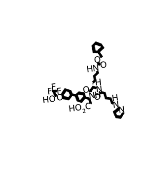 O=C(O)C(F)(F)F.O=C(O)CC(NC(=O)[C@H](CCCCNC(=O)OCc1ccccc1)NC(=O)CCCCNc1ccccn1)c1ccc(-c2ccccc2)cc1